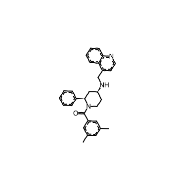 Cc1cc(C)cc(C(=O)N2CC[C@H](NCc3ccnc4ccccc34)C[C@@H]2c2ccccc2)c1